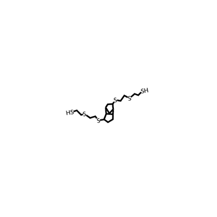 SCCSCCSC1CC2CC1C1CCC(SCCSCCS)C21